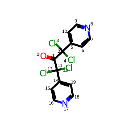 O=C(C(Cl)(Cl)c1ccncc1)C(Cl)(Cl)c1ccncc1